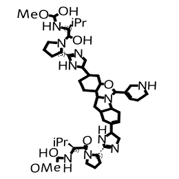 COC(O)N[C@@H](C(C)C)C(O)N1CCC[C@H]1C1=NCC(C2CCC3C(C2)OC(C2=CCCNC2)N2C4CC=C(C5CN=C([C@@H]6CCCN6C(=O)[C@@H](NC(O)OC)C(C)C)N5)CC4CC32)N1